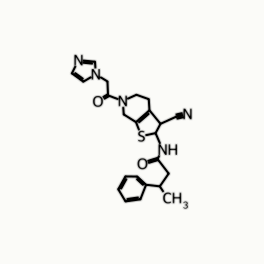 CC(CC(=O)NC1SC2=C(CCN(C(=O)Cn3ccnc3)C2)C1C#N)c1ccccc1